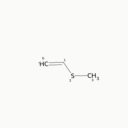 [CH]=CSC